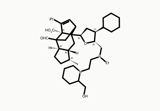 CCN(CCN1CCCCC1CO)C[C@@H]1O[C@@H](C23C[C@@H]4[C@H](C)CC[C@H]4C4(C=O)CC2C=C(C(C)C)[C@]43C(=O)O)C[C@H]1C1CCCCC1